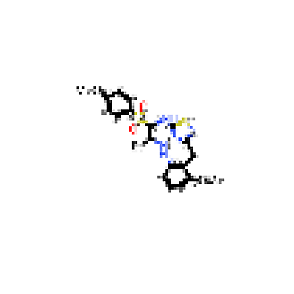 CCC(N)C(Nc1nc(Cc2ccccc2OC)ns1)S(=O)(=O)c1ccc(OC)cc1